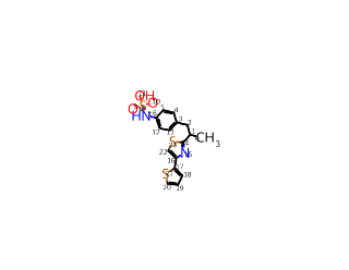 CC(Cc1ccc(NS(=O)(=O)O)cc1)c1nc(-c2cccs2)cs1